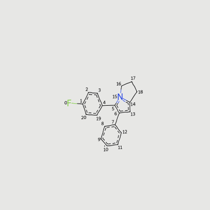 Fc1ccc(-c2c(-c3cc[c]cc3)cc3n2CCC3)cc1